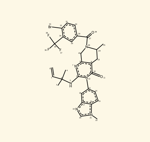 C=CC(C)(C)Nc1nc2c(c(=O)n1-c1ccc3c(c1)ncn3C)CC(C)N(C(=O)c1ccc(Br)c(C(F)(F)F)c1)C2